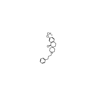 COc1ccc2c(c1)C(=O)C1(CC2)CCN(CCCc2ccccc2)CC1